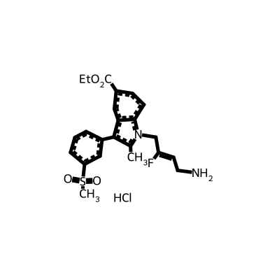 CCOC(=O)c1ccc2c(c1)c(-c1cccc(S(C)(=O)=O)c1)c(C)n2CC(F)=CCN.Cl